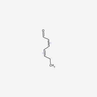 CC/C=C\C=C/C=O